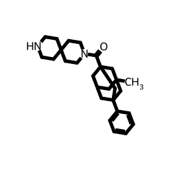 CC12CC3CC(C(=O)N4CCC5(CCNCC5)CC4)(C1)CC(c1ccccc1)(C3)C2